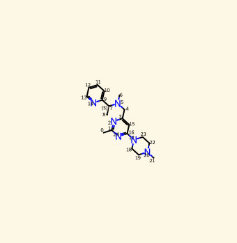 Cc1nc(CN(C)[C@@H](C)c2ccccn2)cc(N2CCN(C)CC2)n1